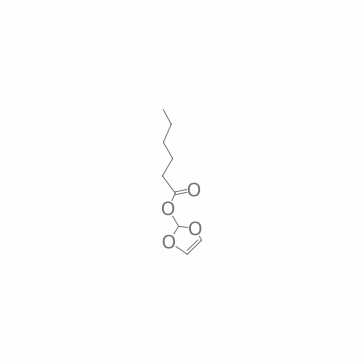 CCCCCC(=O)OC1OC=CO1